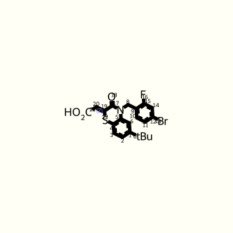 CC(C)(C)c1ccc2c(c1)N(Cc1ccc(Br)cc1F)C(=O)/C(=C/C(=O)O)S2